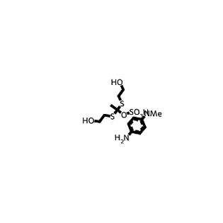 CC(OS(=O)(=O)O)(SCCO)SCCO.CNc1ccc(N)cc1